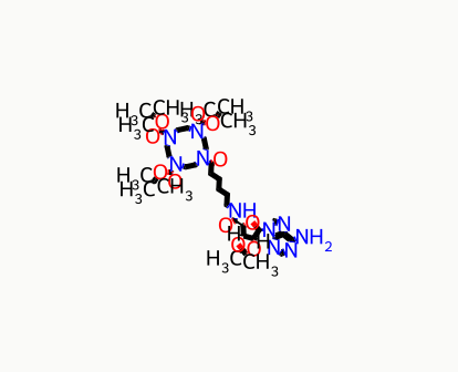 CC(C)(C)OC(=O)N1CCN(C(=O)CCCCCNC(=O)[C@H]2O[C@@H](n3cnc4c(N)ncnc43)[C@@H]3OC(C)(C)O[C@H]32)CCN(C(=O)OC(C)(C)C)CCN(C(=O)OC(C)(C)C)CC1